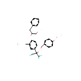 COc1ccc(COC(c2ccc(OC(CO)Cc3ccccc3)c(C)c2)(C(F)(F)F)C(F)(F)F)cc1